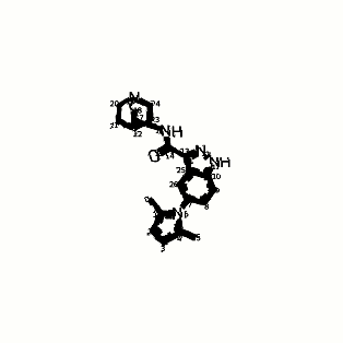 Cc1ccc(C)n1-c1ccc2[nH]nc(C(=O)NC3CN4CCC3CC4)c2c1